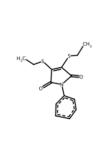 CCSC1=C(SCC)C(=O)N(c2ccccc2)C1=O